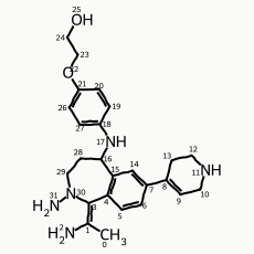 C/C(N)=C1\c2ccc(C3=CCNCC3)cc2C(Nc2ccc(OCCO)cc2)CCN1N